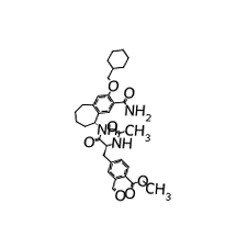 COC(=O)c1ccc(C[C@H](NC(C)=O)C(=O)N[C@@H]2CCCCc3cc(OCC4CCCCC4)c(C(N)=O)cc32)cc1C=O